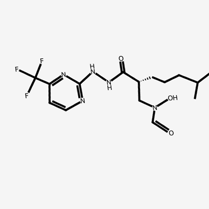 CC(C)CCC[C@H](CN(O)C=O)C(=O)NNc1nccc(C(F)(F)F)n1